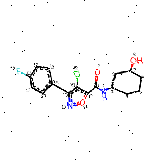 O=C(N[C@@H]1CCC[C@H](O)C1)c1onc(-c2ccc(F)cc2)c1Cl